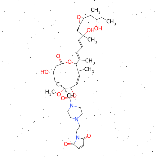 CC[C@H](O)[C@@H](C)[C@H]1O[C@@H]1CC(C)(O)/C=C/C=C(\C)C1OC(=O)CC(O)CCC(C)(OC)C(OC(=O)N2CCN(CCN3C(=O)C=CC3=O)CC2)C=CC1C